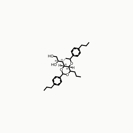 CCCc1ccc(C2C[C@@H]([C@@H](O)CO)[C@H]3OC(c4ccc(CCC)cc4)OC(CCC)[C@H]3O2)cc1